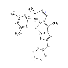 C=C(/N=C\C1=C(N)c2cc(CN3CCNCC3)sc2CS1)Nc1cc(C)cc(C)c1